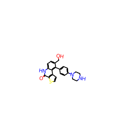 O=c1[nH]c2ccc(CO)c(-c3ccc(N4CCNCC4)cc3)c2c2ccsc12